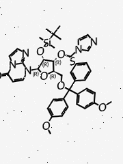 COc1ccc(C(OC[C@H]2O[C@@H](n3ccc(=O)n4ccnc34)[C@H](O[Si](C)(C)C(C)(C)C)[C@@H]2OC(=S)n2ccnc2)(c2ccccc2)c2ccc(OC)cc2)cc1